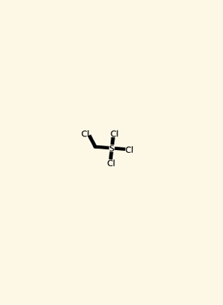 ClCS(Cl)(Cl)Cl